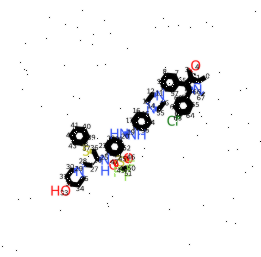 Cc1c(C=O)c(-c2cccc(N3CCN(c4ccc(NNc5ccc(N[C@H](CCN6CCC(O)CC6)CSc6ccccc6)c(S(=O)(=O)C(F)(F)F)c5)cc4)CC3)c2)c(-c2ccc(Cl)cc2)n1C